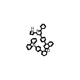 C1=CCC(C2=NC(c3ccc[nH]3)CC(c3ccc(C4=Cc5c(oc6c5C(c5ccc(-n7c8ccccc8c8ccccc87)cc5)=CCC6)C5C=CC=CC45)cc3)=C2)C=C1